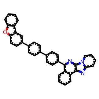 c1ccc2c(c1)oc1ccc(-c3ccc(-c4ccc(-c5nc6c(nc7ccccn76)c6ccccc56)cc4)cc3)cc12